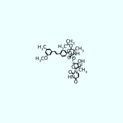 COc1cc(C)cc(/C=C/c2ccc(OP(=O)(N[C@@H](C)C(=O)OC(C)C)OC[C@H]3O[C@@H](n4ccc(=O)[nH]c4=O)[C@](C)(F)[C@@H]3O)cc2)c1